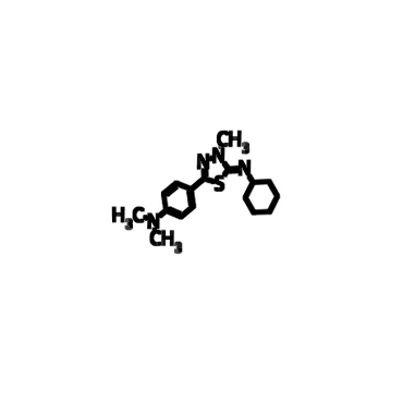 CN(C)c1ccc(-c2nn(C)c(=NC3CCCCC3)s2)cc1